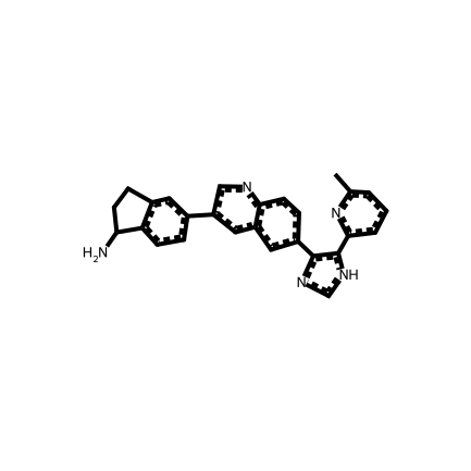 Cc1cccc(-c2[nH]cnc2-c2ccc3ncc(-c4ccc5c(c4)CCC5N)cc3c2)n1